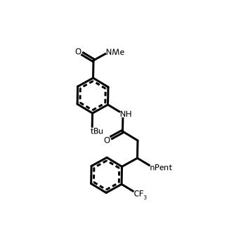 CCCCCC(CC(=O)Nc1cc(C(=O)NC)ccc1C(C)(C)C)c1ccccc1C(F)(F)F